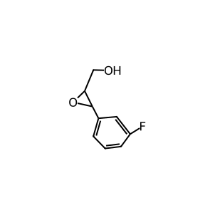 OCC1OC1c1cccc(F)c1